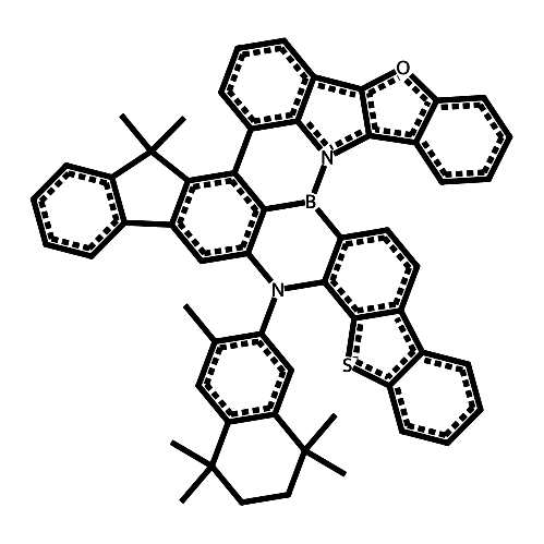 Cc1cc2c(cc1N1c3cc4c(c5c3B(c3ccc6c(sc7ccccc76)c31)n1c3c-5cccc3c3oc5ccccc5c31)C(C)(C)c1ccccc1-4)C(C)(C)CCC2(C)C